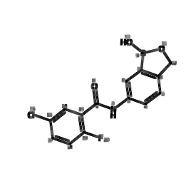 O=C(Nc1ccc2c(c1)B(O)OC2)c1cc(Cl)ccc1F